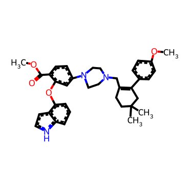 COC(=O)c1ccc(N2CCN(CC3=C(c4ccc(OC)cc4)CC(C)(C)CC3)CC2)cc1Oc1cccc2[nH]ccc12